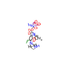 COc1c(N2C[C@@H]3CCCN[C@@H]3C2)c(F)cc2c(=O)c(C(=O)OCC(=O)NC(P=O)P=O)cn(C3CC3)c12